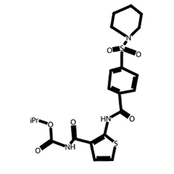 CC(C)OC(=O)NC(=O)c1ccsc1NC(=O)c1ccc(S(=O)(=O)N2CCCCC2)cc1